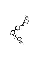 Cc1cnnc(NCc2ccc(-c3ccnc4[nH]c(-c5cnn(C)c5)nc34)cc2F)c1